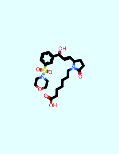 O=C(O)CCCCCCN1C(=O)CCC1C=CC(O)c1cccc(S(=O)(=O)N2CCOCC2)c1